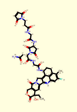 CC[C@@]1(O)C(=O)OCc2c1cc1n(c2=O)Cc2c-1nc1cc(F)c(C)c3c1c2[C@@H](NC(=O)CNC(=O)[C@H](CC(N)=O)N1C(=O)C[C@H](NC(=O)CNC(=O)CCN2C(=O)C=CC2=O)C1=O)CC3